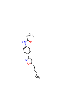 C=CC(=O)Nc1ccc(-c2cc(CCCC)on2)cc1